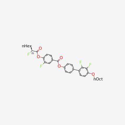 CCCCCCCCOc1ccc(-c2ccc(OC(=O)c3ccc(OC(=O)[C@@H](F)CCCCCC)c(F)c3)cc2)c(F)c1F